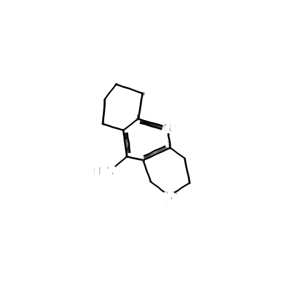 Nc1c2c(nc3c1CNCC3)CCCC2